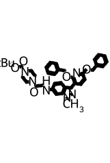 Cn1nc(-c2ccc(OCc3ccccc3)nc2OCc2ccccc2)c2ccc(NCC(=O)N3CCN(C(=O)OC(C)(C)C)CC3)cc21